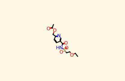 CCOCCS(=O)(=O)NC(=O)c1ccc(COC(C)=O)nc1